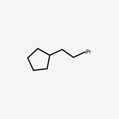 CC(C)CCC1CCCC1